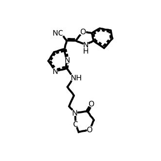 N#CC(=C1Nc2ccccc2O1)c1ccnc(NCCCN2CCOCC2=O)n1